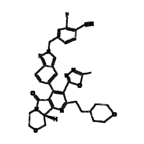 Cc1nnc(-c2c(CCC3CCOCC3)nc3c(c2-c2ccc4nn(Cc5ccc(C#N)c(F)c5)cc4c2)C(=O)N2CCOC[C@@H]32)o1